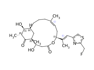 C/C1=C/C[C@@H](/C(C)=C/c2csc(CF)n2)OC(=O)CC(O)[C@@]2(C)C[C@@H](CCC1)[C@H](O)[C@@H](C)C2=O